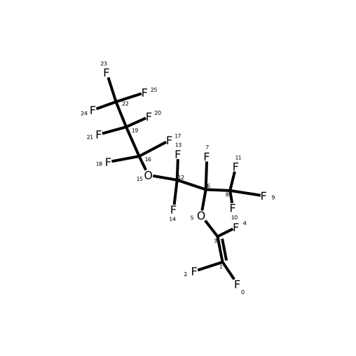 FC(F)=C(F)OC(F)(C(F)(F)F)C(F)(F)OC(F)(F)C(F)(F)C(F)(F)F